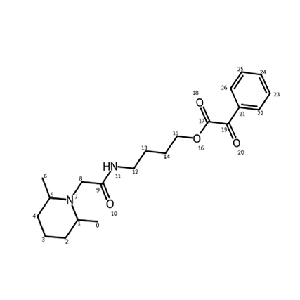 CC1CCCC(C)N1CC(=O)NCCCCOC(=O)C(=O)c1ccccc1